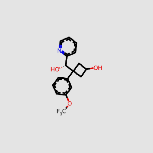 OC1CC(c2cccc(OC(F)(F)F)c2)([C@H](O)c2ccccn2)C1